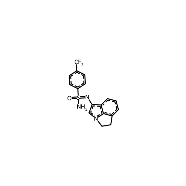 NS(=O)(=Nc1cn2c3c(cccc13)CC2)c1ccc(C(F)(F)F)cc1